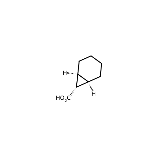 O=C(O)[C@H]1[C@@H]2CCCC[C@@H]21